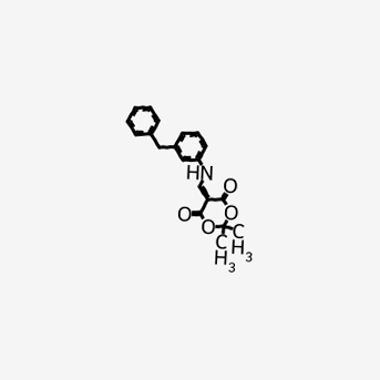 CC1(C)OC(=O)C(=CNc2cccc(Cc3ccccc3)c2)C(=O)O1